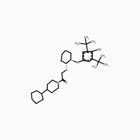 CC(C)(C)c1cc(S[C@@H]2CCCC[C@H]2SCC(=O)N2CCC(C3CCCCC3)CC2)cc(C(C)(C)C)c1O